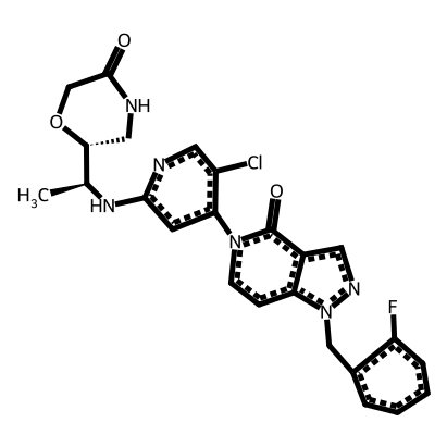 C[C@H](Nc1cc(-n2ccc3c(cnn3Cc3ccccc3F)c2=O)c(Cl)cn1)[C@H]1CNC(=O)CO1